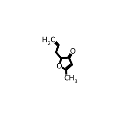 C=CCC1OC(C)=CC1=O